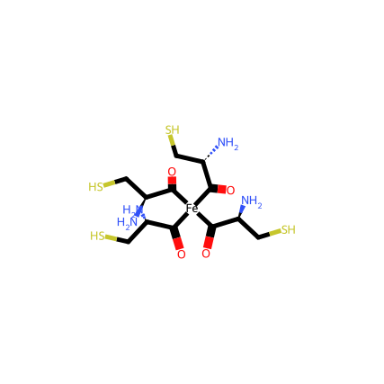 N[C@@H](CS)[C](=O)[Fe]([C](=O)[C@@H](N)CS)([C](=O)[C@@H](N)CS)[C](=O)[C@@H](N)CS